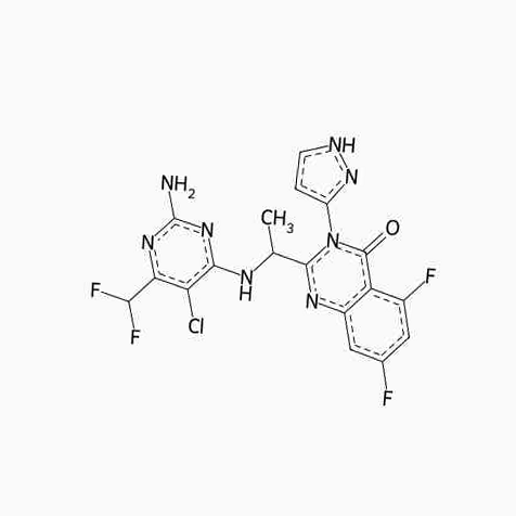 CC(Nc1nc(N)nc(C(F)F)c1Cl)c1nc2cc(F)cc(F)c2c(=O)n1-c1cc[nH]n1